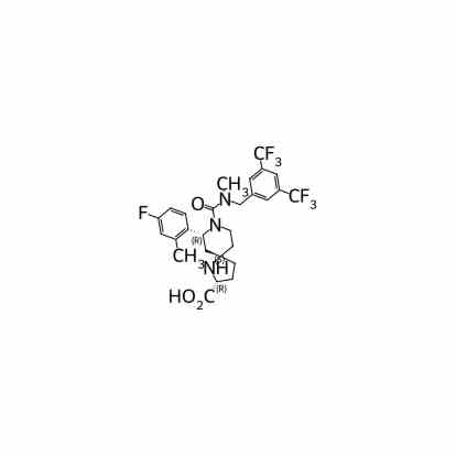 Cc1cc(F)ccc1[C@H]1C[C@]2(CC[C@H](C(=O)O)N2)CCN1C(=O)N(C)Cc1cc(C(F)(F)F)cc(C(F)(F)F)c1